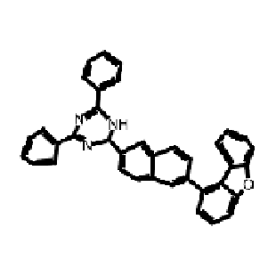 c1ccc(C2=NC(c3ccc4cc(-c5cccc6oc7ccccc7c56)ccc4c3)NC(c3ccccc3)=N2)cc1